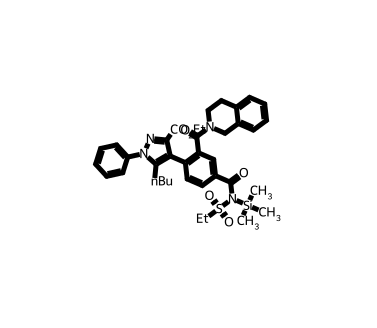 CCCCc1c(-c2ccc(C(=O)N([Si](C)(C)C)S(=O)(=O)CC)cc2C(=O)N2CCc3ccccc3C2)c(C(=O)OCC)nn1-c1ccccc1